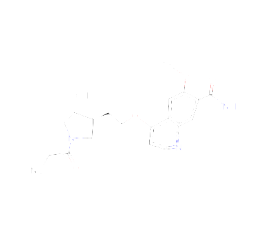 CC(C)Oc1cc2c(OCC[C@H]3CN(C(=O)CC#N)C[C@@H]3C)ccnc2cc1C(N)=O